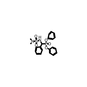 CN(C)S(=O)(=O)NC(c1ccccc1)P(=O)(Oc1ccccc1)Oc1ccccc1